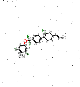 CCC=CC1CCC(c2ccc(C(F)(F)Oc3cc(F)c(C#N)c(F)c3)cc2)C(F)C1